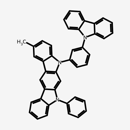 Cc1ccc2c(c1)c1cc3c4ccccc4n(-c4ccccc4)c3cc1n2-c1cccc(-n2c3ccccc3c3ccccc32)c1